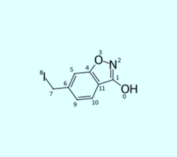 Oc1noc2cc(CI)ccc12